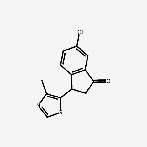 Cc1ncsc1C1CC(=O)c2cc(O)ccc21